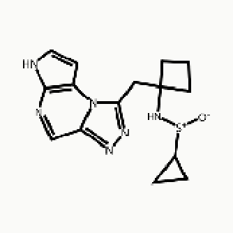 [O-][S+](NC1(Cc2nnc3cnc4[nH]ccc4n23)CCC1)C1CC1